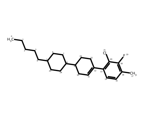 CCCCCC1CCC(C2CC=C(c3ccc(C)c(F)c3Cl)CC2)CC1